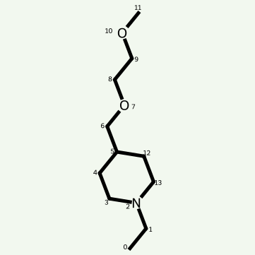 CCN1CCC(COCCOC)CC1